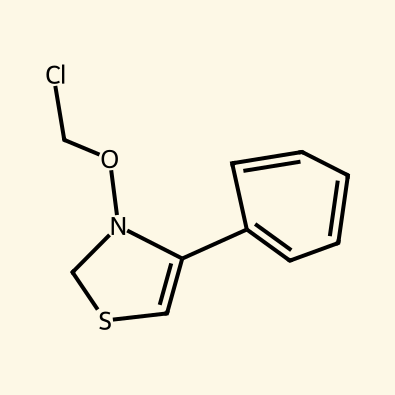 ClCON1CSC=C1c1ccccc1